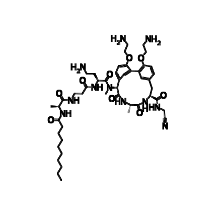 CCCCCCCCCC(=O)N[C@@H](C)C(=O)NCCC(=O)N[C@@H](CCN)C(=O)N(C)[C@@H]1C(=O)N[C@@H](C)C(=O)N[C@H](C(=O)NCC#N)Cc2ccc(OCCN)c(c2)-c2cc1ccc2OCCN